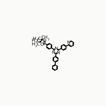 CC1(C)OB(c2ccc(-c3nc(-c4ccc(-c5ccccc5)cc4)nc(-c4ccc(-c5ccccn5)cc4)n3)cc2)OC1(C)C